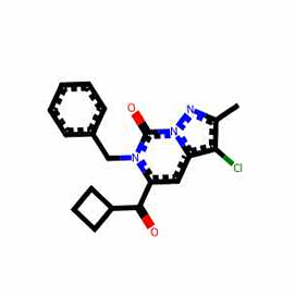 Cc1nn2c(=O)n(Cc3ccccc3)c(C(=O)C3CCC3)cc2c1Cl